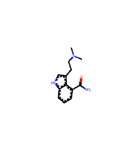 CN(C)CCc1c[nH]c2cccc(C(N)=O)c12